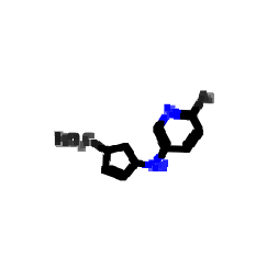 CCOC(=O)C1C=CC(Nc2ccc(C(C)=O)nc2)C1